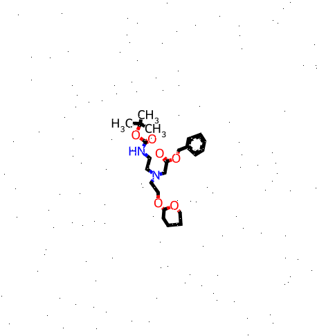 CC(C)(C)OC(=O)NCCN(CCOC1CCCCO1)CC(=O)OCc1ccccc1